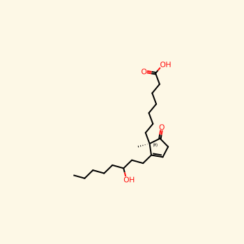 CCCCCC(O)CCC1=CCC(=O)[C@]1(C)CCCCCCC(=O)O